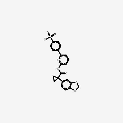 O=C(Nc1cccc(-c2ccc(S(=O)(=O)Cl)cc2)n1)C1(c2ccc3c(c2)OCO3)CC1